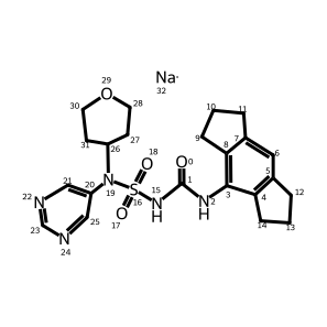 O=C(Nc1c2c(cc3c1CCC3)CCC2)NS(=O)(=O)N(c1cncnc1)C1CCOCC1.[Na]